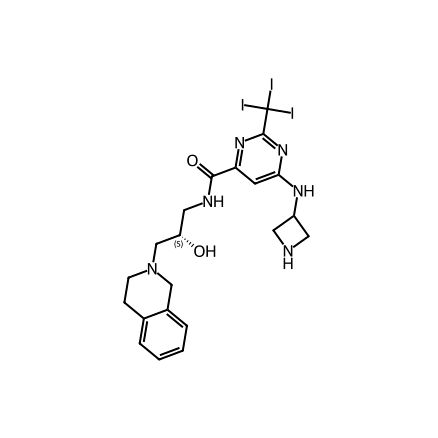 O=C(NC[C@H](O)CN1CCc2ccccc2C1)c1cc(NC2CNC2)nc(C(I)(I)I)n1